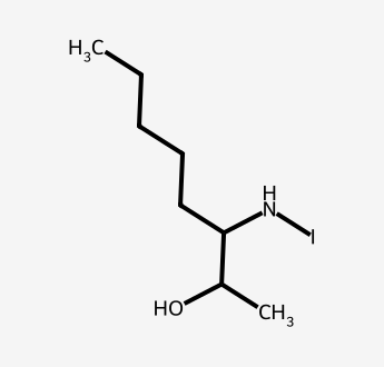 CCCCCC(NI)C(C)O